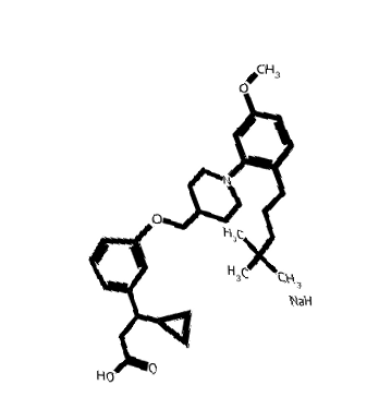 COc1ccc(CCCC(C)(C)C)c(N2CCC(COc3cccc(C(CC(=O)O)C4CC4)c3)CC2)c1.[NaH]